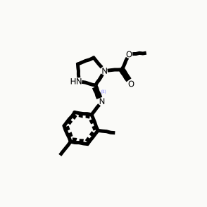 COC(=O)N1CCN/C1=N\c1ccc(C)cc1C